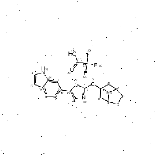 CN1C2CCC1CC(Oc1ncc(-c3ccc4cc[nH]c4c3)s1)C2.O=C(O)C(F)(F)F